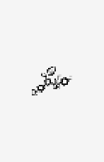 CCc1ccc(C2CC(c3nc(-c4ccc(F)cc4F)no3)CN(C(=O)N3CCOCC3)C2)cc1